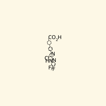 CC(F)(F)C1=CC2NC(c3cnc(-c4ccc(C5CCC(CC(=O)O)CC5)cc4)cc3Cl)=NC2C=C1